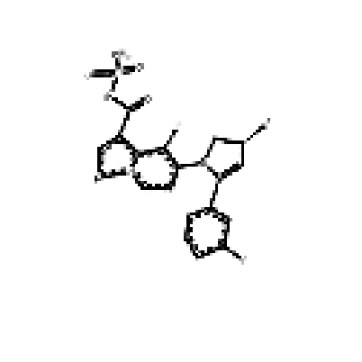 NS(=O)(=O)NC(=O)c1cnn2ccc(N3C[C@@H](F)C=C3c3cccc(F)c3)c(F)c12